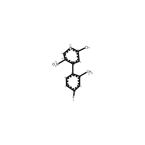 Cc1cc(F)ccc1-c1cc(Cl)ncc1[N+](=O)[O-]